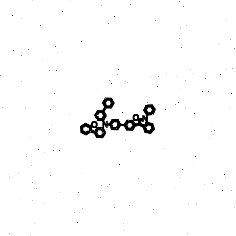 c1ccc(-c2cccc(N(c3ccc(-c4ccc5c(c4)oc4c5c5ccccc5n4-c4ccccc4)cc3)c3cccc4c3oc3ccccc34)c2)cc1